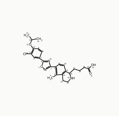 Cc1c(-c2noc(-c3ccc(OC(C)C)c(Cl)c3)n2)ccc2c1CCNC2CCCC(=O)O